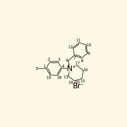 Cc1ccc([N+]2(Cc3ccccc3)CCCCC2)cc1.[Br-]